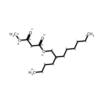 CCCCCCC(CCCC)COC(=O)CC(=O)OC